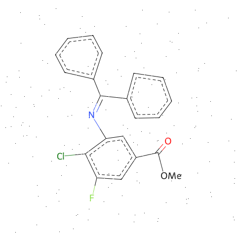 COC(=O)c1cc(F)c(Cl)c(N=C(c2ccccc2)c2ccccc2)c1